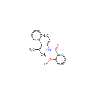 C/C=C(NC(=O)c1ccccc1OCC)\C(=C(/C)C(F)(F)F)c1ccccc1